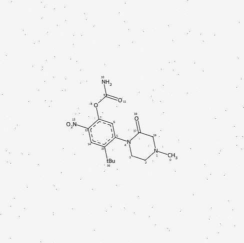 CN1CCN(c2cc(OC(N)=O)c([N+](=O)[O-])cc2C(C)(C)C)C(=O)C1